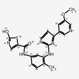 COc1cncc(-c2ccnc(Nc3cc(NC(=O)c4cnc(O)s4)ccc3C)n2)c1